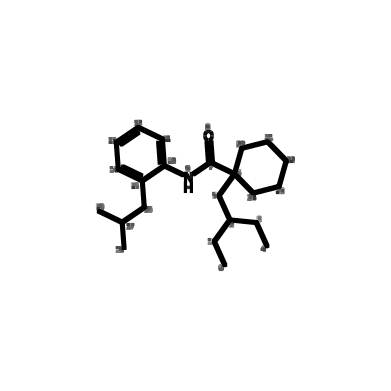 CCC(CC)CC1(C(=O)Nc2ccccc2CC(C)C)CCCCC1